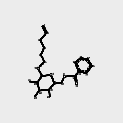 C=CCCCCOC1OC(COC(=O)c2ccccc2)C(C)C(C)C1C